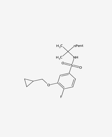 CCCCCC(C)(C)NS(=O)(=O)c1ccc(F)c(OCC2CC2)c1